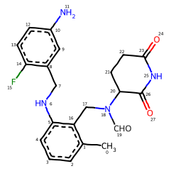 Cc1cccc(NCc2cc(N)ccc2F)c1CN(C=O)C1CCC(=O)NC1=O